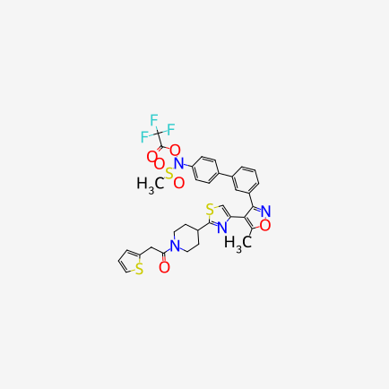 Cc1onc(-c2cccc(-c3ccc(N(OC(=O)C(F)(F)F)S(C)(=O)=O)cc3)c2)c1-c1csc(C2CCN(C(=O)Cc3cccs3)CC2)n1